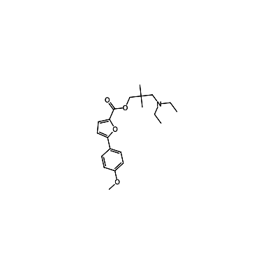 CCN(CC)CC(C)(C)COC(=O)c1ccc(-c2ccc(OC)cc2)o1